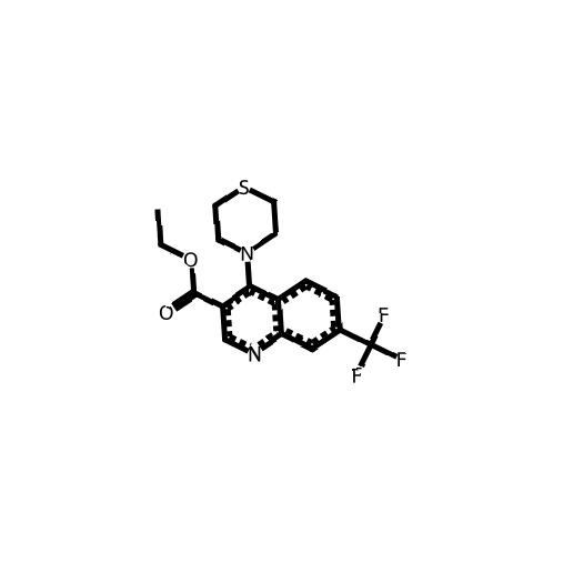 CCOC(=O)c1cnc2cc(C(F)(F)F)ccc2c1N1CCSCC1